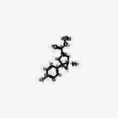 CC(C)(C)OC(=O)N1C[C@H]2CC2(c2ccc(I)cc2)C1